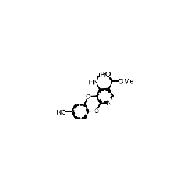 COC(=O)c1cnc2c(c1NC(C)C)Oc1cc(C#N)ccc1O2